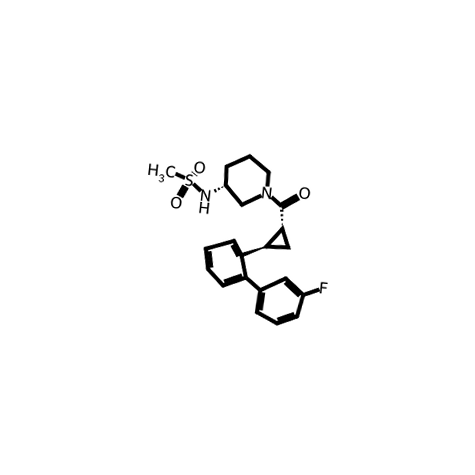 CS(=O)(=O)N[C@@H]1CCCN(C(=O)[C@@H]2C[C@H]2c2ccccc2-c2cccc(F)c2)C1